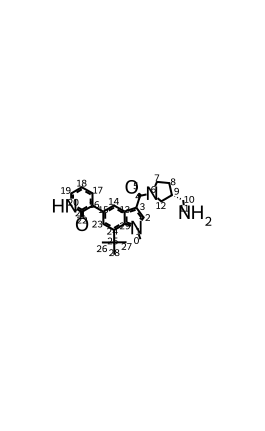 Cn1cc(C(=O)N2CC[C@H](CN)C2)c2cc(-c3ccc[nH]c3=O)cc(C(C)(C)C)c21